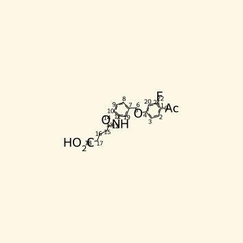 CC(=O)c1ccc(OCc2cccc(NC(=O)CCCC(=O)O)c2)cc1F